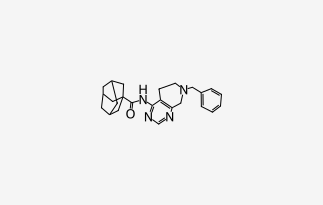 O=C(Nc1ncnc2c1CCN(Cc1ccccc1)C2)C12CC3CC(CC(C3)C1)C2